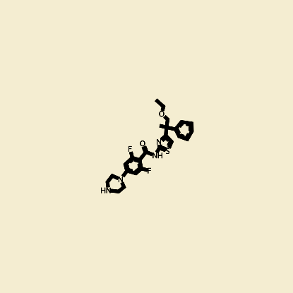 CCOCC(C)(c1ccccc1)c1csc(NC(=O)c2c(F)cc(N3CCNCC3)cc2F)n1